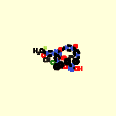 C=C(F)C(=O)N1CCN(c2nc(OCCN3CCN(C(=O)C4CCN(Cc5ccc(-n6c(O)nnc6-c6cc(C(C)C)c(O)cc6O)cc5)CC4)CC3)nc3c2CCN(c2cccc4cccc(Cl)c24)C3)C[C@@H]1CC#N